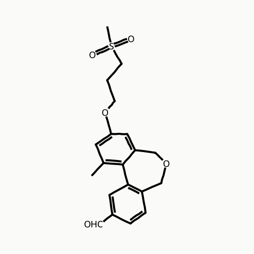 Cc1cc(OCCCS(C)(=O)=O)cc2c1-c1cc(C=O)ccc1COC2